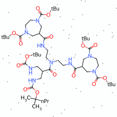 CCCC(C)(C)OC(=O)NCC(CNC(=O)OC(C)(C)C)C(=O)N(CCNC(=O)C1CN(C(=O)OC(C)(C)C)CCN(C(=O)OC(C)(C)C)C1)CCNC(=O)C1CN(C(=O)OC(C)(C)C)CCN(C(=O)OC(C)(C)C)C1